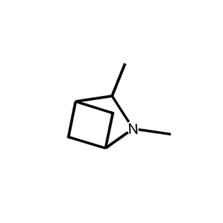 CC1C2CC(C2)N1C